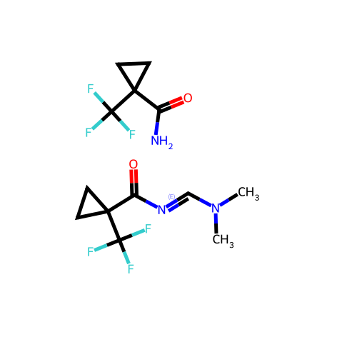 CN(C)/C=N/C(=O)C1(C(F)(F)F)CC1.NC(=O)C1(C(F)(F)F)CC1